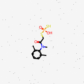 Cc1cccc(C)c1N(C)C(=O)CSP(=O)(O)S